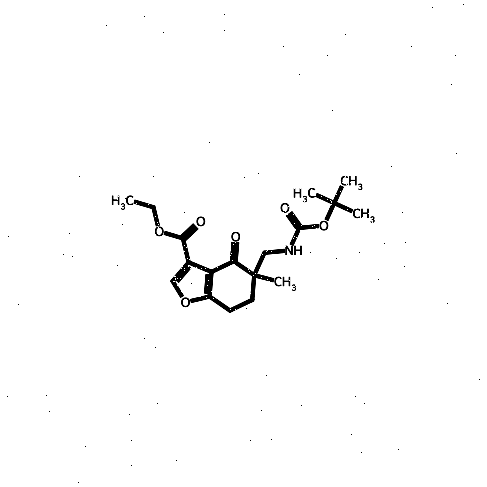 CCOC(=O)c1coc2c1C(=O)C(C)(CNC(=O)OC(C)(C)C)CC2